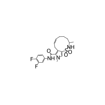 CC1CCC/C=C\Cc2c(cn(C)c2C(=O)Nc2ccc(F)c(F)c2)S(=O)(=O)N1